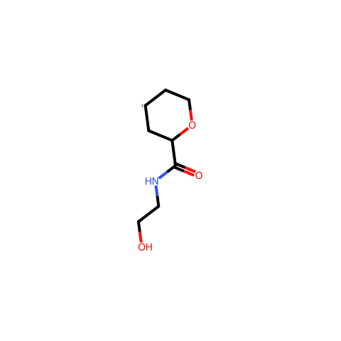 O=C(NCCO)C1C[C]CCO1